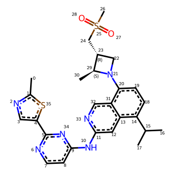 Cc1ncc(-c2nccc(Nc3cc4c(C(C)C)ccc(N5C[C@@H](CS(C)(=O)=O)[C@@H]5C)c4cn3)n2)s1